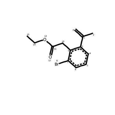 C=C(C)c1cccc(Br)c1CC(=O)OCC